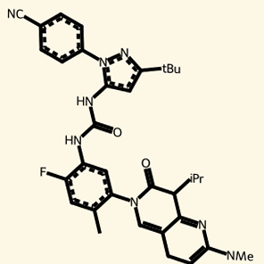 CNC1=CCC2=CN(c3cc(NC(=O)Nc4cc(C(C)(C)C)nn4-c4ccc(C#N)cc4)c(F)cc3C)C(=O)C(C(C)C)C2=N1